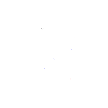 CCOc1ncc(Nc2cc(C(COC)CC(=O)O)ccc2N(CC)C2CCS(O)(O)CC2)cn1